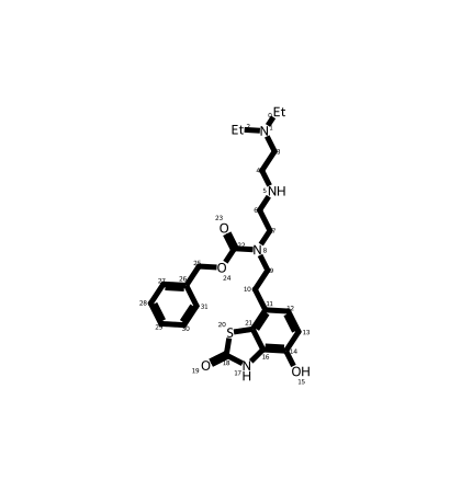 CCN(CC)CCNCCN(CCc1ccc(O)c2[nH]c(=O)sc12)C(=O)OCc1ccccc1